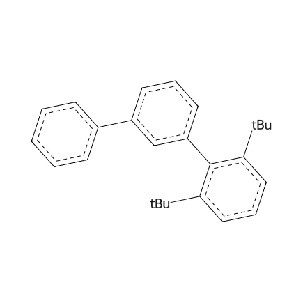 CC(C)(C)c1cccc(C(C)(C)C)c1-c1cccc(-c2ccccc2)c1